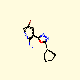 Nc1ncc(Br)cc1-c1nnc(C2CCCCC2)o1